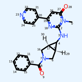 Cn1c(NC2[C@H]3CN(C(=O)c4ccccc4)C[C@@H]23)nc(-c2ccncc2)cc1=O